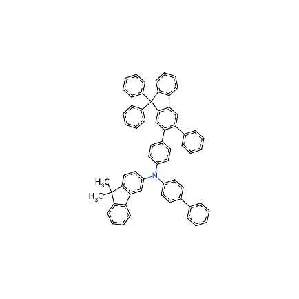 CC1(C)c2ccccc2-c2cc(N(c3ccc(-c4ccccc4)cc3)c3ccc(-c4cc5c(cc4-c4ccccc4)-c4ccccc4C5(c4ccccc4)c4ccccc4)cc3)ccc21